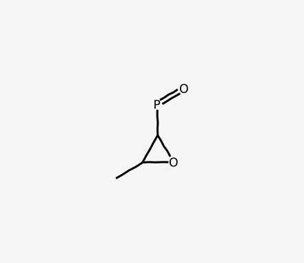 CC1OC1P=O